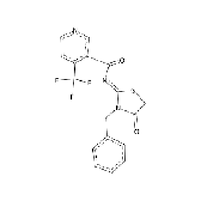 O=C(/N=C1\SCC(=O)N1Cc1ccccc1)c1cnccc1C(F)(F)F